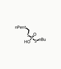 CCCCCCSP(=O)(O)SCCCC